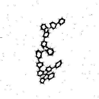 c1ccc(-c2ccc(-n3c4ccccc4c4cc(-c5ccc6c(c5)c5ccccc5n6-c5cccc(-c6ccc(-c7cccc(C8(c9cccc(-c%10ccccc%10)c9)c9ccccc9-c9ccccc98)c7)cc6)c5)ccc43)cc2)cc1